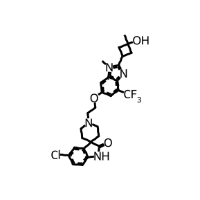 Cn1c(C2CC(C)(O)C2)nc2c(C(F)(F)F)cc(OCCN3CCC4(CC3)C(=O)Nc3ccc(Cl)cc34)cc21